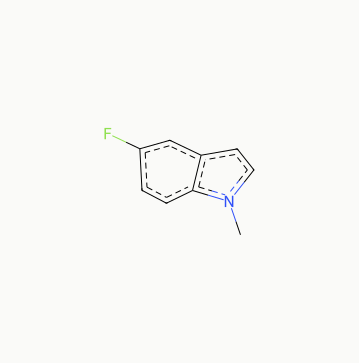 Cn1ccc2cc(F)ccc21